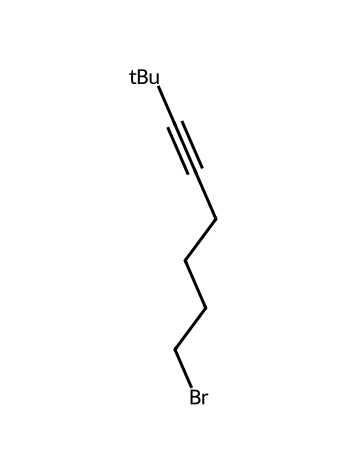 CC(C)(C)C#CCCCCBr